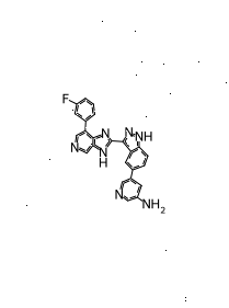 Nc1cncc(-c2ccc3[nH]nc(-c4nc5c(-c6cccc(F)c6)cncc5[nH]4)c3c2)c1